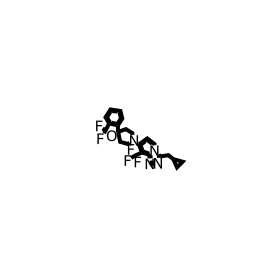 FC(F)(F)c1c(N2CCC3(CC2)OC(F)(F)c2ccccc23)ccn2c(CC3CC3)nnc12